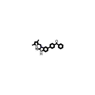 Cc1cc(C)c(/C=C2\C(=O)Nc3ccc(-c4ccc(C(=O)c5ccccc5)cc4)cc32)[nH]1